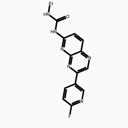 CCNC(=O)Nc1ccc2ncc(-c3ccc(F)nc3)nc2n1